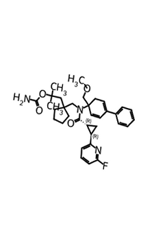 COCC1(N(CC2(CC(C)(C)OC(N)=O)CCCC2)C(=O)[C@@H]2C[C@H]2c2cccc(F)n2)C=CC(c2ccccc2)=CC1